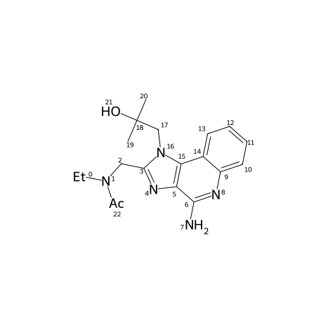 CCN(Cc1nc2c(N)nc3ccccc3c2n1CC(C)(C)O)C(C)=O